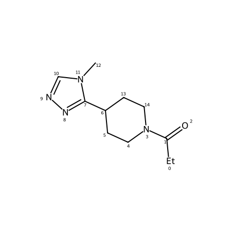 CCC(=O)N1CCC(c2nncn2C)CC1